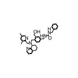 Cc1cnc(CN(Cc2ccc(CNC(=O)NCc3ccccc3)cc2CO)C2CCCc3cccnc32)c(C)c1